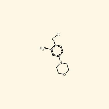 CCOc1ccc(N2CCOCC2)cc1N